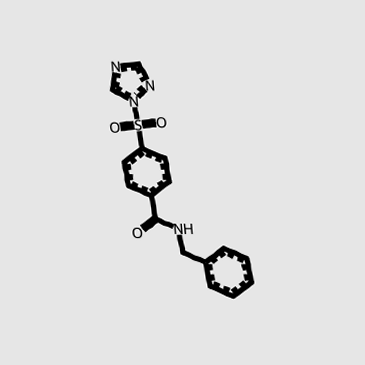 O=C(NCc1ccccc1)c1ccc(S(=O)(=O)n2cncn2)cc1